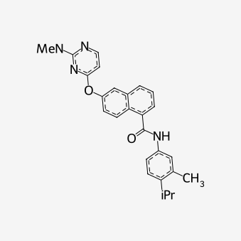 CNc1nccc(Oc2ccc3c(C(=O)Nc4ccc(C(C)C)c(C)c4)cccc3c2)n1